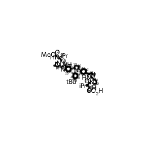 COC(=O)N[C@H](C(=O)N1CCC[C@H]1c1nc2ccc([C@@H]3CC[C@@H](c4ccc(-c5cnc([C@@H]6CCCN6C(=O)[C@@H](NC(=O)O)C(C)C)[nH]5)cc4)N3c3ccc(C(C)(C)C)cc3)cc2[nH]1)C(C)C